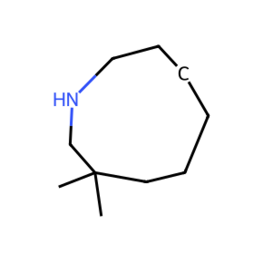 CC1(C)CCCCCCNC1